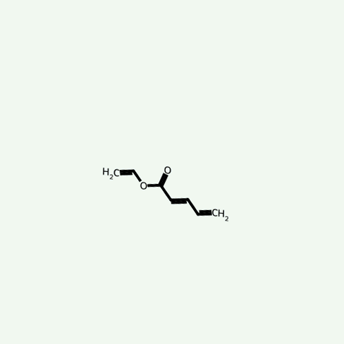 C=CC=CC(=O)OC=C